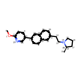 COc1ccc(-c2ccc3cc(CCN4CCC[C@H]4C)ccc3c2)cn1